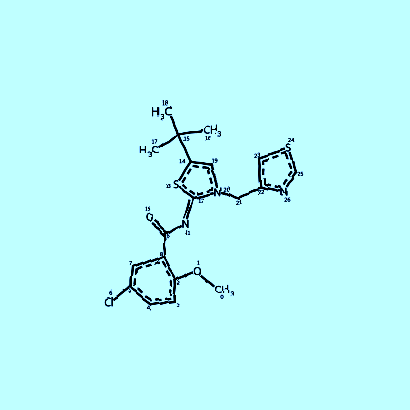 COc1ccc(Cl)cc1C(=O)N=c1sc(C(C)(C)C)cn1Cc1cscn1